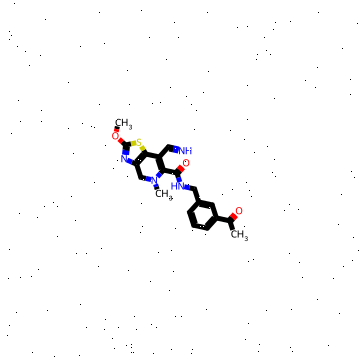 COc1nc2c(s1)C(C=N)=C(C(=O)NCc1cccc(C(C)=O)c1)N(C)C2